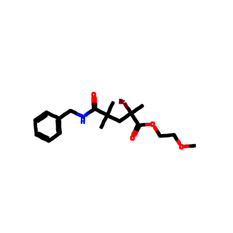 COCCOC(=O)C(C)(Br)CC(C)(C)C(=O)NCc1ccccc1